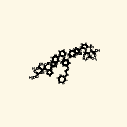 COC(=O)NC(C(=O)N1CCCC1c1nc2cc([C@H]3CC[C@H](c4ccc5[nH]c(C6CCCN6C(=O)[C@H](C(C)C)N(C)C(=O)O)nc5c4)N3c3ccc(OCCN4CCCCC4)cc3)ccc2[nH]1)C(C)C